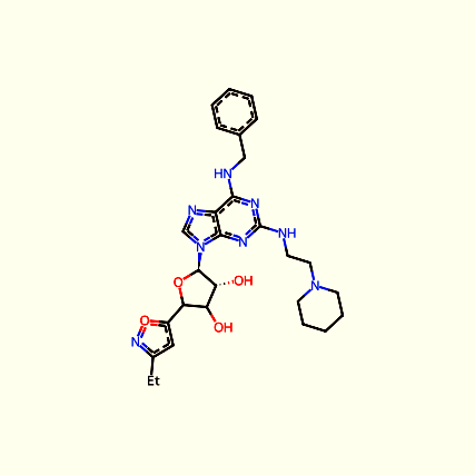 CCc1cc(C2O[C@@H](n3cnc4c(NCc5ccccc5)nc(NCCN5CCCCC5)nc43)[C@H](O)C2O)on1